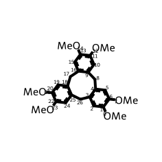 COc1cc2c(cc1OC)Cc1cc(OC)c(OC)cc1Cc1cc(OC)c(OC)cc1C2